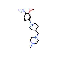 COc1cc(N2CCC(CN3CCN(C)CC3)CC2)ccc1N